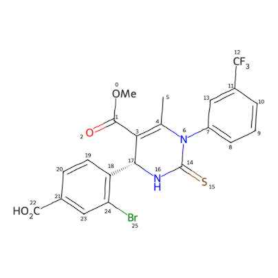 COC(=O)C1=C(C)N(c2cccc(C(F)(F)F)c2)C(=S)N[C@@H]1c1ccc(C(=O)O)cc1Br